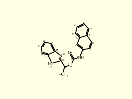 CC(OC(=O)Nc1ccc2ccccc2c1)c1nc2ccccc2[nH]1